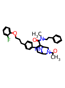 CC(=O)N1CC2CC(c3ccc(CCCOc4ccccc4F)cc3)=C(C(=O)N(C)CCc3ccccc3)C(C1)N2